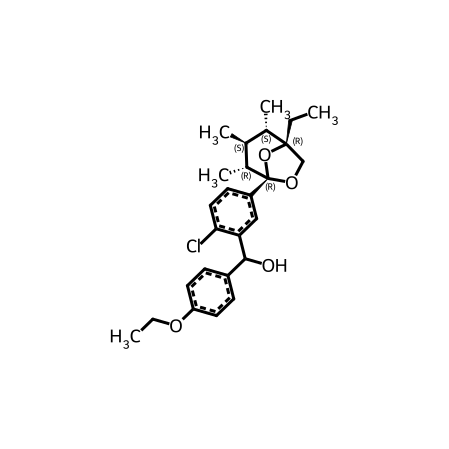 CCOc1ccc(C(O)c2cc([C@]34OC[C@](CC)(O3)[C@@H](C)[C@H](C)[C@H]4C)ccc2Cl)cc1